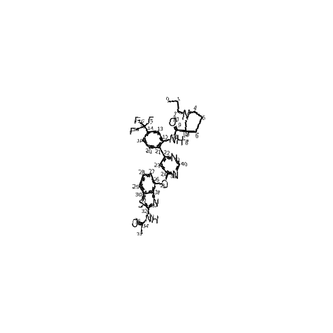 CCCN1CCC[C@@]1(C)C(=O)Nc1cc(C(F)(F)F)ccc1-c1cc(Oc2cccc3sc(NC(C)=O)nc23)ncn1